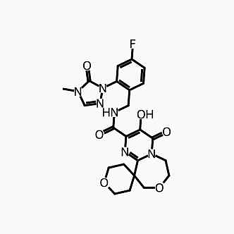 Cn1cnn(-c2cc(F)ccc2CNC(=O)c2nc3n(c(=O)c2O)CCOCC32CCOCC2)c1=O